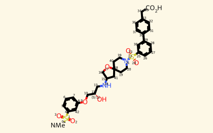 CNS(=O)(=O)c1cccc(OC[C@@H](O)CNC2COC3(CCN(S(=O)(=O)c4cccc(-c5ccc(CC(=O)O)cc5)c4)CC3)C2)c1